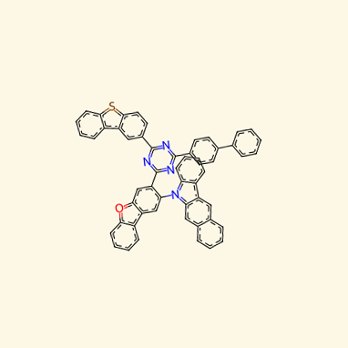 c1ccc(-c2ccc(-c3nc(-c4ccc5sc6ccccc6c5c4)nc(-c4cc5oc6ccccc6c5cc4-n4c5ccccc5c5cc6ccccc6cc54)n3)cc2)cc1